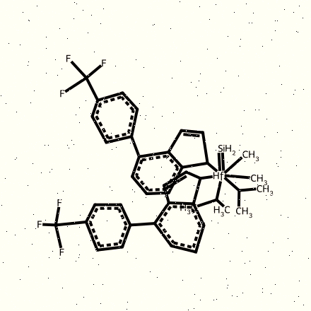 C[CH](C)[Hf]([CH3])([CH3])(=[SiH2])([CH](C)C)([CH]1C=Cc2c(-c3ccc(C(F)(F)F)cc3)cccc21)[CH]1C=Cc2c(-c3ccc(C(F)(F)F)cc3)cccc21